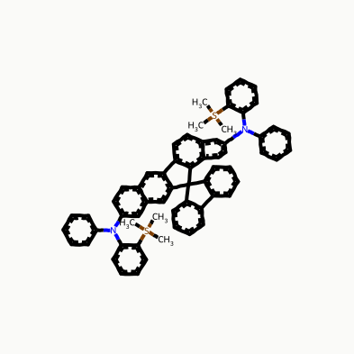 CS(C)(C)c1ccccc1N(c1ccccc1)c1ccc2cc3c(cc2c1)C1(c2ccccc2-c2ccccc21)c1c-3ccc2cc(N(c3ccccc3)c3ccccc3S(C)(C)C)ccc12